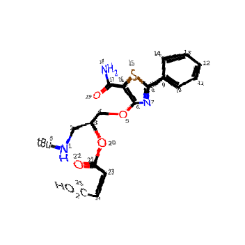 CC(C)(C)NC[C@@H](COc1nc(-c2ccccc2)sc1C(N)=O)OC(=O)/C=C\C(=O)O